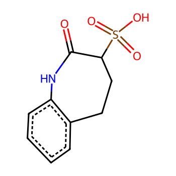 O=C1Nc2ccccc2CCC1S(=O)(=O)O